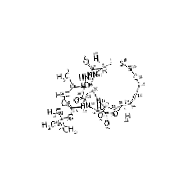 CC(C)[C@H]1NC(=O)[C@H]2CSSCCC=C[C@H](CC(=O)NC(CCC(=O)OC(C)(C)C)C(=O)N2)OC(=O)CNC1=O